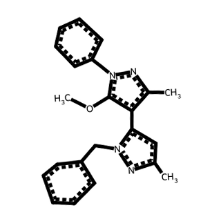 COc1c(-c2cc(C)nn2Cc2ccccc2)c(C)nn1-c1ccccc1